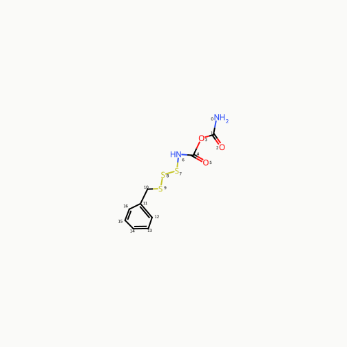 NC(=O)OC(=O)NSSSCc1ccccc1